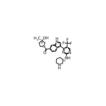 C[C@@]1(O)CCN(C(=O)c2ccc3c(-c4nc(N[C@H]5CCCNC5)ncc4C(F)(F)F)c[nH]c3c2)C1